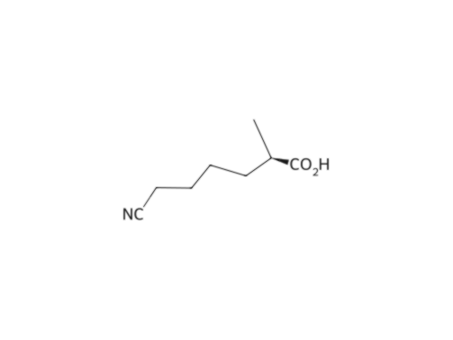 C[C@H](CCCCC#N)C(=O)O